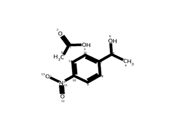 CC(=O)O.CC(O)c1ccc([N+](=O)[O-])cc1